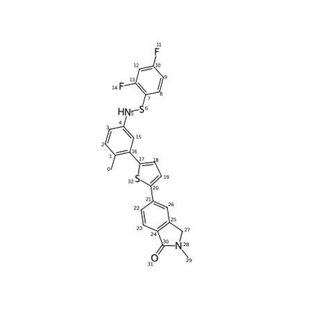 Cc1ccc(NSc2ccc(F)cc2F)cc1-c1ccc(-c2ccc3c(c2)CN(C)C3=O)s1